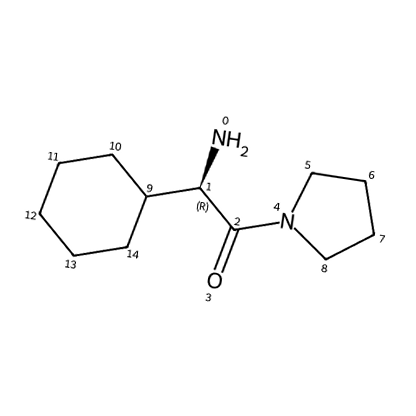 N[C@@H](C(=O)N1CCCC1)C1CCCCC1